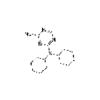 N#Cc1ncnc(N(C2CCCCC2)C2CCCCC2)n1